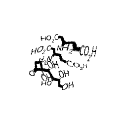 NC(CCC(=O)O)CC(=O)O.NC(CCC(=O)O)CC(=O)O.O=C1CC[C@@]1(O)[C@@H](O)[C@H](O)[C@H](O)CO